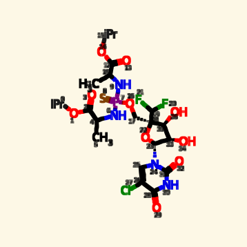 CC(C)OC(=O)C(C)NP(=S)(NC(C)C(=O)OC(C)C)OC[C@@]1(C(F)F)O[C@@H](n2cc(Cl)c(=O)[nH]c2=O)[C@H](O)[C@@H]1O